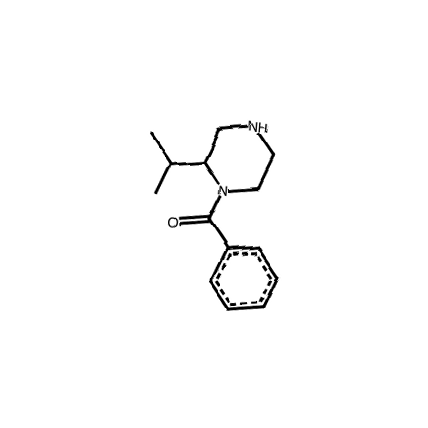 CC(C)C1CNCCN1C(=O)c1ccccc1